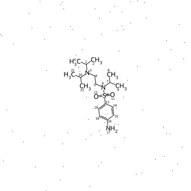 CC(C)N(CCN(C(C)C)S(=O)(=O)c1ccc(N)cc1)C(C)C